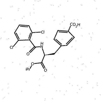 CC(C)OC(=O)[C@H](Cc1ccc(C(=O)O)cc1)NC(=O)c1c(Cl)cccc1Cl